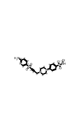 CCNS(=O)(=O)c1ccc(N2CCN(CC#CS(=O)(=O)c3ccc(N)nc3)CC2)cc1